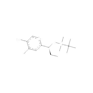 CC[C@H](O[Si](C)(C)C(C)(C)C)c1cc(C)c(Br)cn1